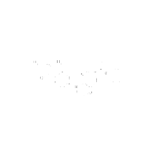 CN(C)C(=O)c1ccc(N2CCOc3cc(C(=O)N4CCCCC4)cnc32)cc1